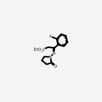 CCOC(=O)CC(=NN1CCCC1=O)c1ccccc1F